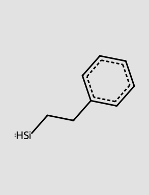 [SiH]CCc1ccccc1